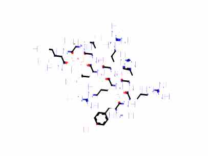 CC[C@H](C)[C@H](NC(=O)[C@H](C)NC(=O)[C@H](CC(C)C)NC(=O)[C@H](CC(C)C)NC(=O)[C@H](CCCNC(=N)N)NC(=O)[C@H](CCCNC(=N)N)NC(=O)[C@H](Cc1c[nH]cn1)NC(=O)[C@H](CCCNC(=N)N)NC(=O)[C@H](Cc1ccc(O)cc1)NC)C(N)=O